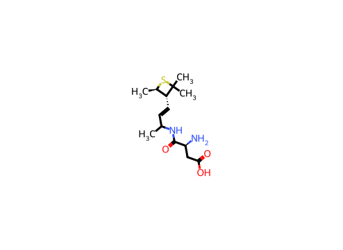 CC(C=C[C@@H]1[C@@H](C)SC1(C)C)NC(=O)[C@@H](N)CC(=O)O